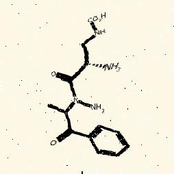 CC(C(=O)c1ccccc1)N(N)C(=O)[C@@H](N)CNC(=O)O